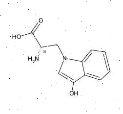 N[C@@H](Cn1cc(O)c2ccccc21)C(=O)O